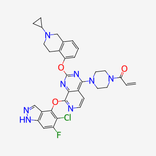 C=CC(=O)N1CCN(c2nc(Oc3cccc4c3CCN(C3CC3)C4)nc3c(Oc4c(Cl)c(F)cc5[nH]ncc45)nccc23)CC1